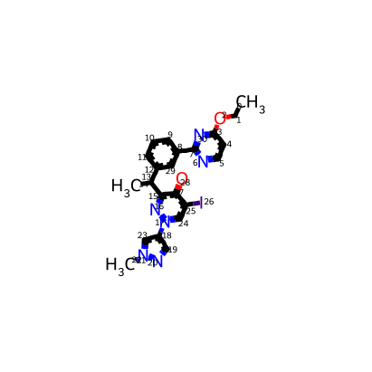 CCOc1ccnc(-c2cccc(C(C)c3nn(-c4cnn(C)c4)cc(I)c3=O)c2)n1